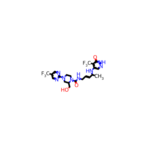 CC(/C=C/CNC(=O)N1CCN(c2ncc(C(F)(F)F)cn2)CC1CO)Nc1cn[nH]c(=O)c1C(F)(F)F